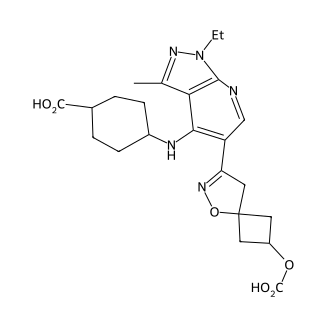 CCn1nc(C)c2c(NC3CCC(C(=O)O)CC3)c(C3=NOC4(C3)CC(OC(=O)O)C4)cnc21